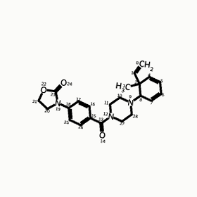 C=CC1(C)C=CC=CC1N1CCN(C(=O)c2ccc(N3CCOC3=O)cc2)CC1